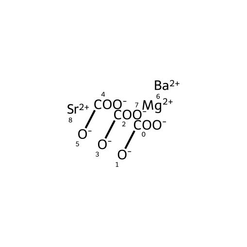 O=C([O-])[O-].O=C([O-])[O-].O=C([O-])[O-].[Ba+2].[Mg+2].[Sr+2]